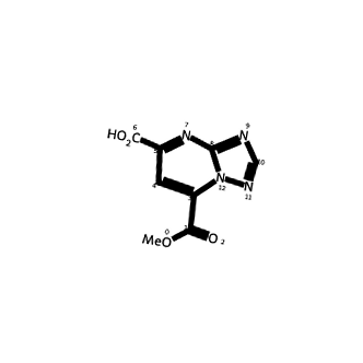 COC(=O)c1cc(C(=O)O)nc2ncnn12